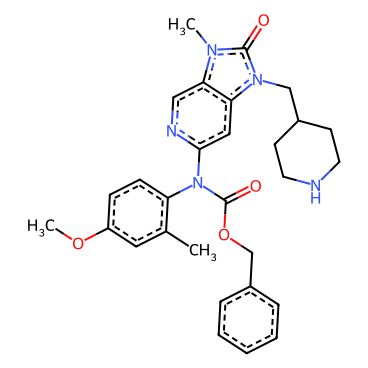 COc1ccc(N(C(=O)OCc2ccccc2)c2cc3c(cn2)n(C)c(=O)n3CC2CCNCC2)c(C)c1